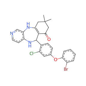 CC1(C)CC(=O)C2=C(C1)Nc1cnccc1NC2c1ccc(Oc2ccccc2Br)cc1Cl